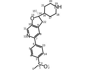 C[S+]([O-])c1ccc(-c2cc3c(cn2)O[C@@](C)(C2CCNCC2)C3)cc1